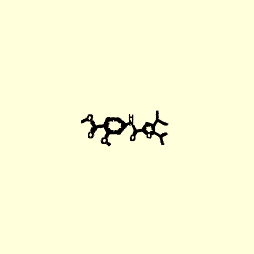 COC(=O)c1ccc(NC(=O)c2cc(C(C)C)c(C(C)C)o2)cc1OC